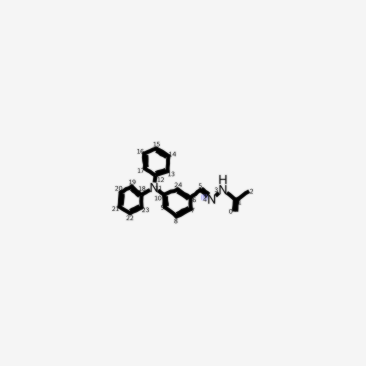 C=C(C)N/N=C/c1cccc(N(c2ccccc2)c2ccccc2)c1